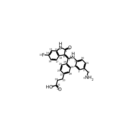 NCc1ccc(N/C(=C2\C(=O)Nc3cc(F)ccc32)c2ccc(CCC(=O)O)cc2)cc1